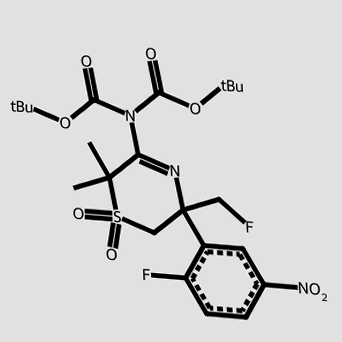 CC(C)(C)OC(=O)N(C(=O)OC(C)(C)C)C1=NC(CF)(c2cc([N+](=O)[O-])ccc2F)CS(=O)(=O)C1(C)C